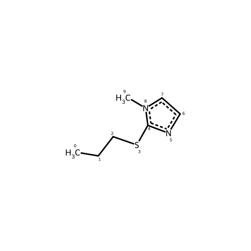 CCCSc1nccn1C